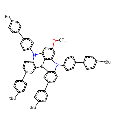 CC(C)(C)c1ccc(-c2ccc(N3c4ccc(-c5ccc(C(C)(C)C)cc5)cc4B4c5cc(-c6ccc(C(C)(C)C)cc6)ccc5N(c5ccc(-c6ccc(C(C)(C)C)cc6)cc5)c5cc(OC(F)(F)F)cc3c54)cc2)cc1